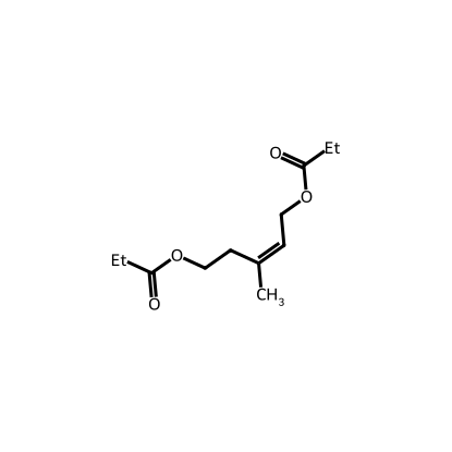 CCC(=O)OC/C=C(/C)CCOC(=O)CC